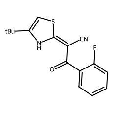 CC(C)(C)C1=CS/C(=C(\C#N)C(=O)c2ccccc2F)N1